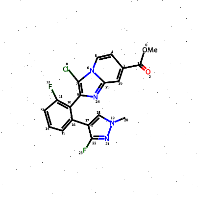 COC(=O)c1ccn2c(Cl)c(-c3c(F)cccc3-c3cn(C)nc3F)nc2c1